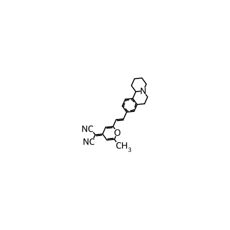 CC1=CC(=C(C#N)C#N)C=C(C=Cc2ccc3c(c2)CCN2CCCCC32)O1